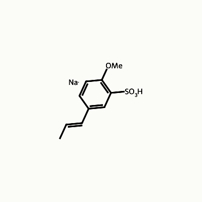 CC=Cc1ccc(OC)c(S(=O)(=O)O)c1.[Na]